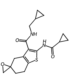 O=C(NCC1CC1)c1c(NC(=O)C2CC2)sc2c1CC1(CC2)CO1